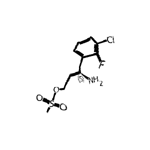 CS(=O)(=O)OCC[C@H](N)c1cccc(Cl)c1F